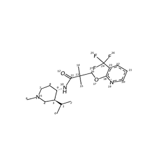 CC(C)[C@H]1CN(C)CC[C@@H]1NC(=O)C(C)(C)COc1ncccc1C(F)(F)F